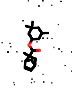 CC1CC(OC(=O)C2(C)CC3C=CC2C3)CC(C)(C)C1